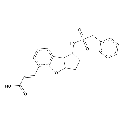 O=C(O)C=Cc1cccc2c1OC1CCC(NS(=O)(=O)Cc3ccccc3)C21